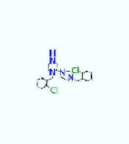 Clc1ccccc1CN1CCN(C2CNCCN2Cc2ccccc2Cl)CC1